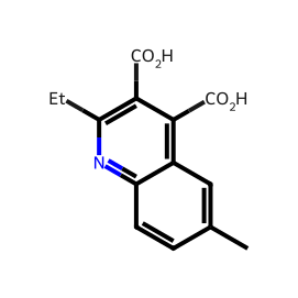 CCc1nc2ccc(C)cc2c(C(=O)O)c1C(=O)O